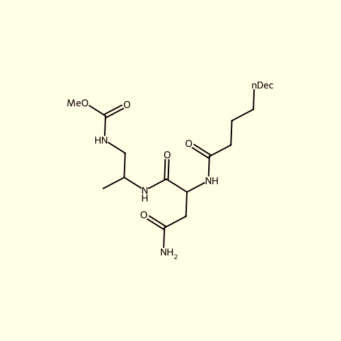 CCCCCCCCCCCCCC(=O)NC(CC(N)=O)C(=O)NC(C)CNC(=O)OC